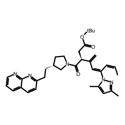 C=C(/C=C(\C=C/C)n1nc(C)cc1C)[C@H](CC(=O)OC(C)(C)C)C(=O)N1CC[C@@H](CCc2ccc3cccnc3n2)C1